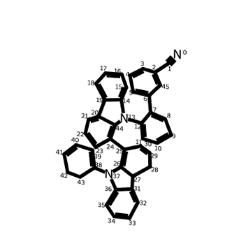 N#Cc1cccc(-c2ccccc2-n2c3ccccc3c3cccc(C4=C5C(CC=C4)c4ccccc4N5C4=CC=CCC4)c32)c1